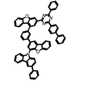 c1ccc(-c2ccc(-c3nc(-c4ccccc4)nc(-c4cc(-c5cccc(-c6cc(-n7c8ccccc8c8cc(-c9ccccc9)ccc87)c7oc8ccccc8c7c6)c5)c5c(c4)oc4ccccc45)n3)cc2)cc1